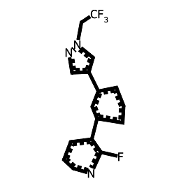 Fc1ncccc1-c1cccc(-c2cnn(CC(F)(F)F)c2)c1